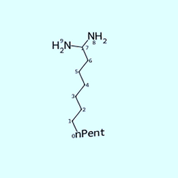 CCCCCCCCCCC[C](N)N